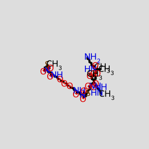 CC[C@H](C)[C@H](NC(=O)CCCCCN)C(=O)Oc1ccc(C(CNC(=O)CCSC2CC(=O)N(CCC(=O)NCCCOCCOCCOCCCNC(=O)CCN3C(=O)CC(SC)C3=O)C2=O)OC(=O)NCCNC)cc1OC